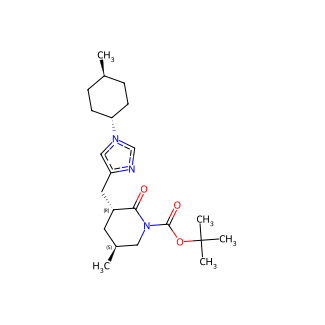 C[C@H]1C[C@H](Cc2cn([C@H]3CC[C@H](C)CC3)cn2)C(=O)N(C(=O)OC(C)(C)C)C1